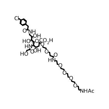 CC(=O)NCCOCCOCCOCCOCCNC(=O)CCOCCO[C@]1(C(=O)O)C[C@H](O)[C@@H](NC(=O)CO)[C@H]([C@H](O)[C@H](O)CNC(=O)Cc2ccc(Cl)cc2)O1